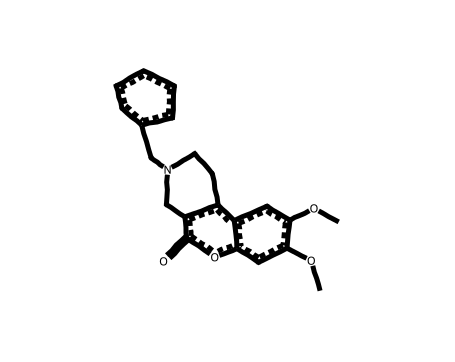 COc1cc2oc(=O)c3c(c2cc1OC)CCN(Cc1ccccc1)C3